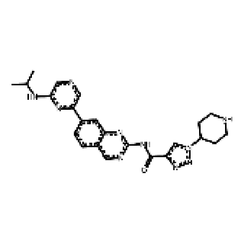 CC(C)Nc1cncc(-c2ccc3cnc(NC(=O)c4cn(C5CCNCC5)nn4)nc3c2)n1